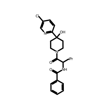 CC(C)C(NC(=O)c1ccccc1)C(=O)N1CCC(O)(c2ccc(Cl)cn2)CC1